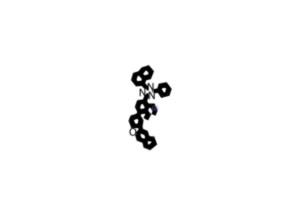 C=Cc1c(-c2ccc3oc4cc5ccccc5cc4c3c2)ccc(-c2nc(-c3ccccc3)nc(-c3cccc4ccccc34)n2)c1/C=C\C